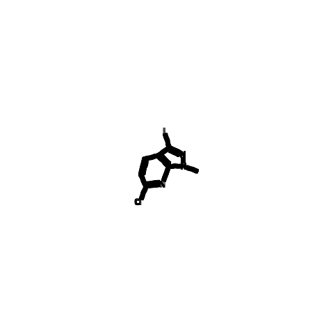 Cn1nc(I)c2ccc(Cl)nc21